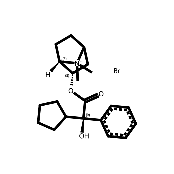 C[N+]1(C)C2CC[C@H]1[C@@H](OC(=O)[C@](O)(c1ccccc1)C1CCCC1)C2.[Br-]